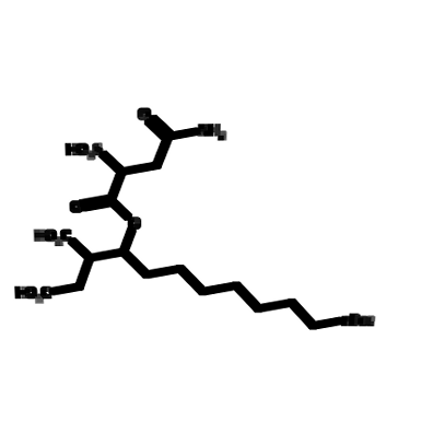 CCCCCCCCCCCCCCCCCC(OC(=O)C(CC(N)=O)S(=O)(=O)O)C(CC(=O)O)C(=O)O